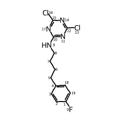 Fc1ccc(CCCCNc2nc(Cl)nc(Cl)n2)cc1